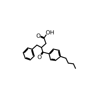 CCCCc1ccc(C(=O)C(CC(=O)O)Cc2ccccc2)cc1